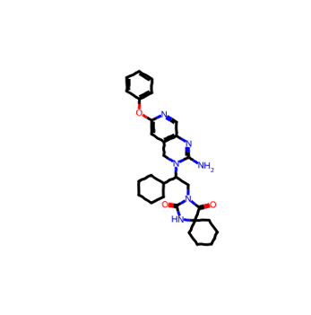 NC1=Nc2cnc(Oc3ccccc3)cc2CN1C(CN1C(=O)NC2(CCCCC2)C1=O)C1CCCCC1